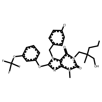 CCCC(C)(CO)Cn1c(=O)c2c(nc(Oc3cccc(OC(F)(F)F)c3)n2Cc2ccc(Cl)cc2)n(C)c1=O